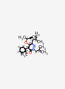 C#CC(C)Oc1c(CC(C)C)nn(CC(C)C)c(=O)c1-c1ccccc1C